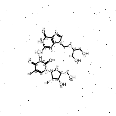 Nc1nc2c(ncn2COC(CO)CO)c(=O)[nH]1.O=c1[nH]c(=O)n([C@@H]2O[C@H](CO)[C@@H](O)[C@@H]2F)cc1I